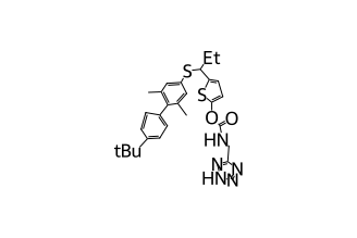 CCC(Sc1cc(C)c(-c2ccc(C(C)(C)C)cc2)c(C)c1)c1ccc(OC(=O)NCc2nn[nH]n2)s1